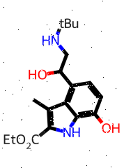 CCOC(=O)c1[nH]c2c(O)ccc(C(O)CNC(C)(C)C)c2c1C